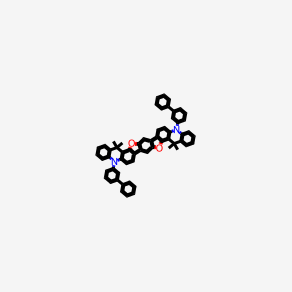 CC1(C)c2ccccc2N(c2cccc(-c3ccccc3)c2)c2ccc3c(oc4cc5c(cc43)oc3c4c(ccc35)N(c3cccc(-c5ccccc5)c3)c3ccccc3C4(C)C)c21